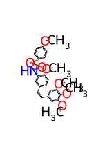 COc1ccc(S(=O)(=O)Nc2cc(/C=C\c3cc(OC)c(OC)c(OC)c3)ccc2OC)cc1